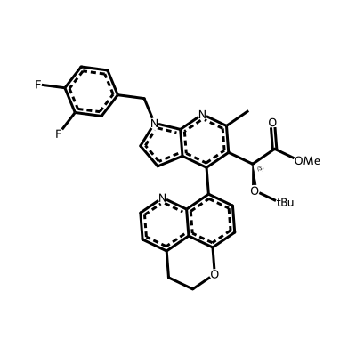 COC(=O)[C@@H](OC(C)(C)C)c1c(C)nc2c(ccn2Cc2ccc(F)c(F)c2)c1-c1ccc2c3c(ccnc13)CCO2